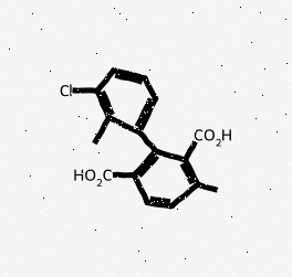 Cc1ccc(C(=O)O)c(-c2cccc(Cl)c2C)c1C(=O)O